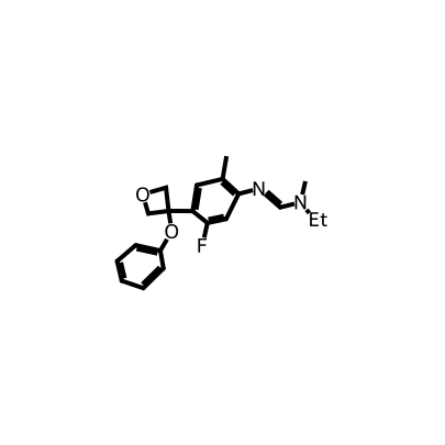 CCN(C)C=Nc1cc(F)c(C2(Oc3ccccc3)COC2)cc1C